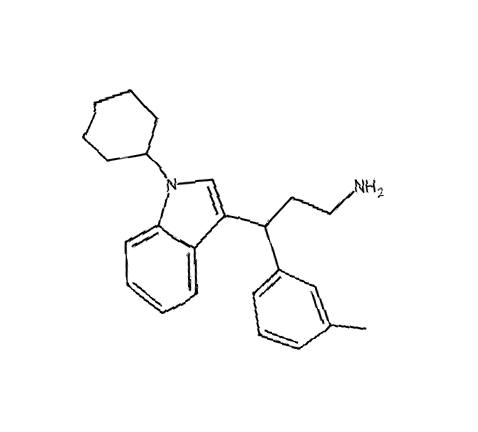 Cc1cccc(C(CCN)c2cn(C3CCCCC3)c3ccccc23)c1